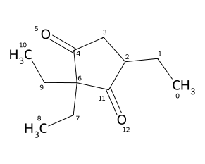 CCC1CC(=O)C(CC)(CC)C1=O